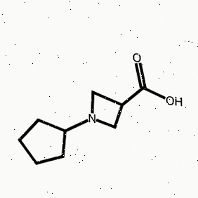 O=C(O)C1CN(C2CCCC2)C1